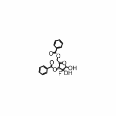 O=C(OC[C@H]1OC(O)[C@](O)(F)[C@@H]1OC(=O)c1ccccc1)c1ccccc1